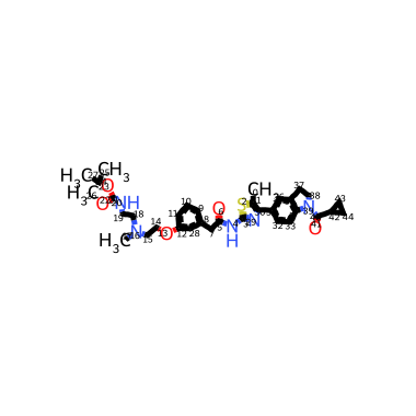 Cc1sc(NC(=O)Cc2cccc(OCCN(C)CCNC(=O)OC(C)(C)C)c2)nc1-c1ccc2c(c1)CCN2C(=O)C1CC1